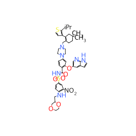 CC(C)c1sccc1C1=C(CN2CCN(c3ccc(C(=O)NS(=O)(=O)c4ccc(NCC5COCCO5)c([N+](=O)[O-])c4)c(Oc4cnc5[nH]ccc5c4)c3)CC2)CCC(C)(C)C1